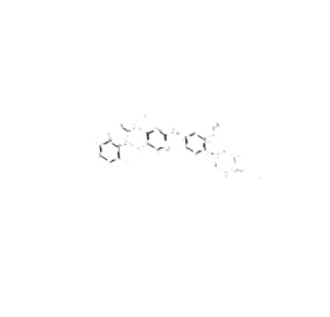 CCCCN1C(=O)N(c2c(C)cccc2C)Cc2cnc(Nc3ccc(N4CCN(C)CC4)c(CO)c3)nc21